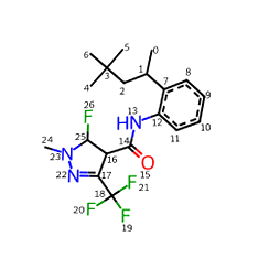 CC(CC(C)(C)C)c1ccccc1NC(=O)C1C(C(F)(F)F)=NN(C)C1F